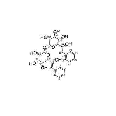 OC(=Cc1ccccc1)[C@H]1O[C@H](O[C@H]2O[C@H](C(O)=Cc3ccccc3)[C@@H](O)[C@H](O)[C@H]2O)[C@H](O)[C@@H](O)[C@@H]1O